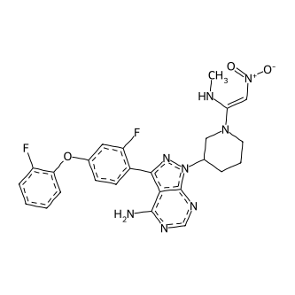 CNC(=C[N+](=O)[O-])N1CCCC(n2nc(-c3ccc(Oc4ccccc4F)cc3F)c3c(N)ncnc32)C1